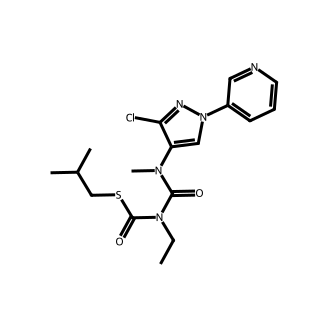 CCN(C(=O)SCC(C)C)C(=O)N(C)c1cn(-c2cccnc2)nc1Cl